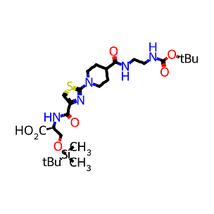 CC(C)(C)OC(=O)NCCNC(=O)C1CCN(c2nc(C(=O)N[C@@H](CO[Si](C)(C)C(C)(C)C)C(=O)O)cs2)CC1